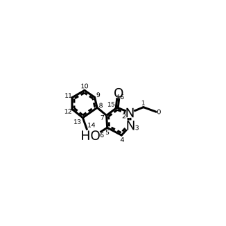 CCn1ncc(O)c(-c2ccccc2C)c1=O